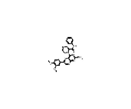 COc1ccc(-c2cnc3nc(N)nc(N4CCNCC4C(=O)Nc4ccccc4)c3n2)cc1OC